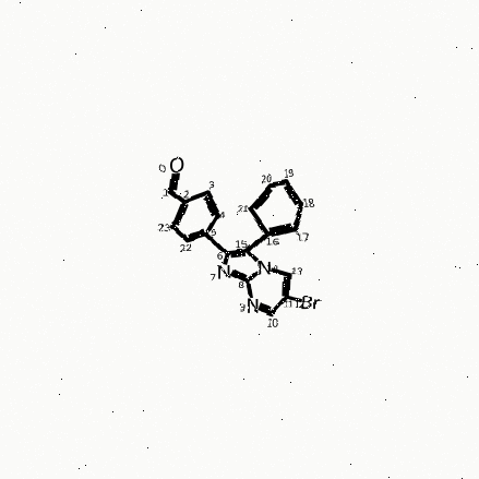 O=Cc1ccc(-c2nc3ncc(Br)cn3c2-c2ccccc2)cc1